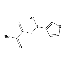 CCC(C)C(=O)C(=O)CN(C(C)=O)c1ccsc1